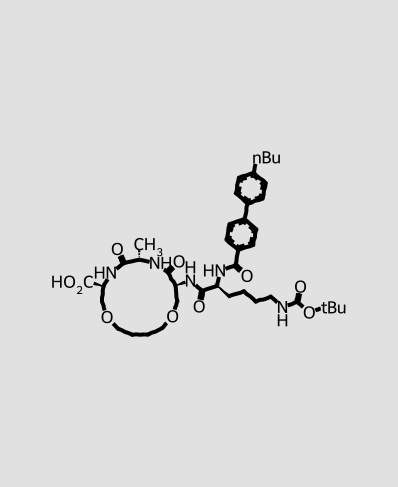 CCCCc1ccc(-c2ccc(C(=O)N[C@@H](CCCCNC(=O)OC(C)(C)C)C(=O)N[C@H]3COCCCCOC[C@@H](C(=O)O)NC(=O)[C@H](C)NC3=O)cc2)cc1